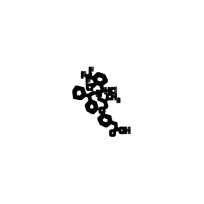 C[C@H](COc1cccc(CC(=O)O)c1)CN(Cc1cccc(C(F)(F)F)c1Cl)CC(c1ccccc1)c1ccccc1.Cl